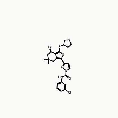 CC1(C)CC(=O)c2c(SC3CCCC3)sc(-c3ccn(C(=O)Nc4cccc(Cl)c4)n3)c2C1